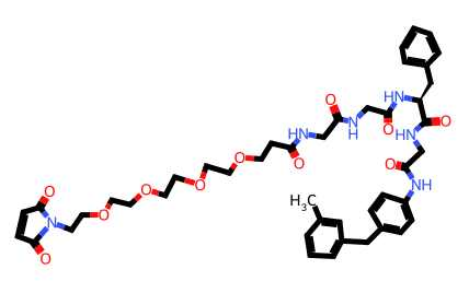 Cc1cccc(Cc2ccc(NC(=O)CNC(=O)[C@H](Cc3ccccc3)NC(=O)CNC(=O)CNC(=O)CCOCCOCCOCCOCCN3C(=O)C=CC3=O)cc2)c1